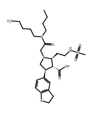 CCCCN(CCCCN)C(=O)CN1C[C@H](c2ccc3c(c2)CCO3)[C@@H](C(=O)O)[C@@H]1CCNS(C)(=O)=O